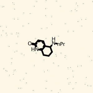 CCCNC1CCCc2[nH]c(=O)ccc21